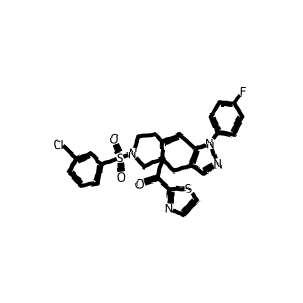 O=C(c1nccs1)C12Cc3cnn(-c4ccc(F)cc4)c3C=C1CCN(S(=O)(=O)c1cccc(Cl)c1)C2